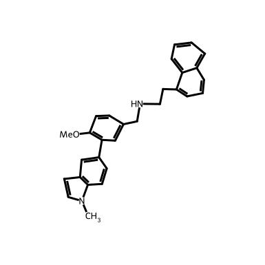 COc1ccc(CNCCc2cccc3ccccc23)cc1-c1ccc2c(ccn2C)c1